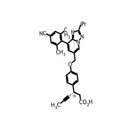 CC#C[C@@H](CC(=O)O)c1ccc(OCc2cc(-c3c(C)cc(C#N)cc3C)c3nc(C(C)C)nn3c2)cc1